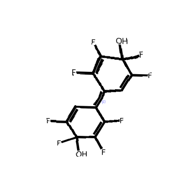 OC1(F)C(F)=C/C(=C2/C=C(F)C(O)(F)C(F)=C2F)C(F)=C1F